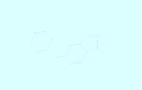 CN1CCC(Oc2ccc3c(cnn3C)c2)CC1